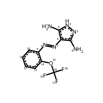 Nc1n[nH]c(N)c1N=Nc1ccccc1OC(F)(F)F